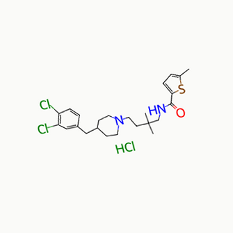 Cc1ccc(C(=O)NCC(C)(C)CCN2CCC(Cc3ccc(Cl)c(Cl)c3)CC2)s1.Cl